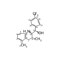 Cc1ccccc1CC(C)[C@@H](N)[C@H](O)c1ccc(C(F)(F)F)cc1